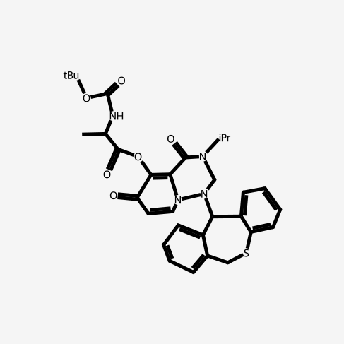 CC(NC(=O)OC(C)(C)C)C(=O)Oc1c2n(ccc1=O)N(C1c3ccccc3CSc3ccccc31)CN(C(C)C)C2=O